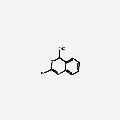 O=CC1OC(Br)=Nc2ccccc21